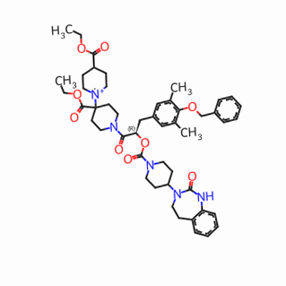 CCOC(=O)C1CC[N+](C2(C(=O)OCC)CCN(C(=O)[C@@H](Cc3cc(C)c(OCc4ccccc4)c(C)c3)OC(=O)N3CCC(N4CCc5ccccc5NC4=O)CC3)CC2)CC1